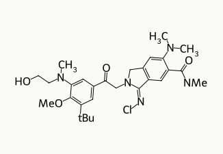 CNC(=O)c1cc2c(cc1N(C)C)CN(CC(=O)c1cc(N(C)CCO)c(OC)c(C(C)(C)C)c1)/C2=N\Cl